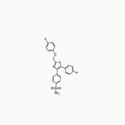 NS(=O)(=O)c1ccc(-c2nc(COc3ccc(F)cc3)sc2-c2ccc(F)cc2)cc1